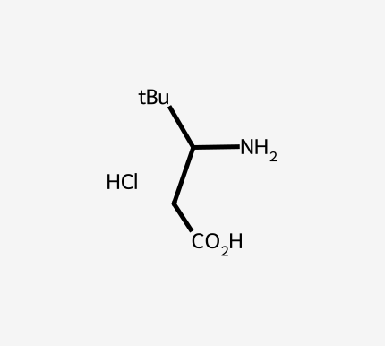 CC(C)(C)C(N)CC(=O)O.Cl